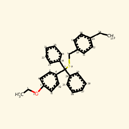 CCOc1ccc(C(SCc2ccc(CC)cc2)(c2ccccc2)c2ccccc2)cc1